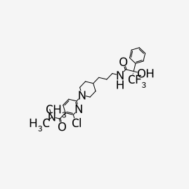 CN(C)C(=O)c1ccc(N2CCC(CCCNC(=O)[C@](O)(c3ccccc3)C(F)(F)F)CC2)nc1Cl